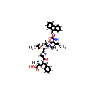 C=CCO[C@H](C[C@H](C(C)C)N(C)C(=O)[C@@H](NC(=O)OCC1c2ccccc2-c2ccccc21)[C@@H](C)CC)c1nc(C(=O)NC(Cc2ccccc2)CC(C)C(=O)O)cs1